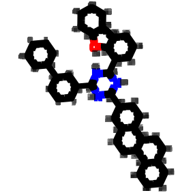 c1ccc(-c2cccc(-c3nc(-c4ccc5c(ccc6c7ccccc7ccc56)c4)nc(-c4cccc5c4oc4ccccc45)n3)c2)cc1